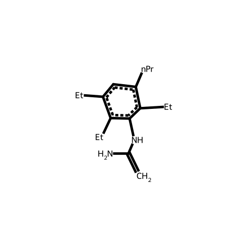 C=C(N)Nc1c(CC)c(CC)cc(CCC)c1CC